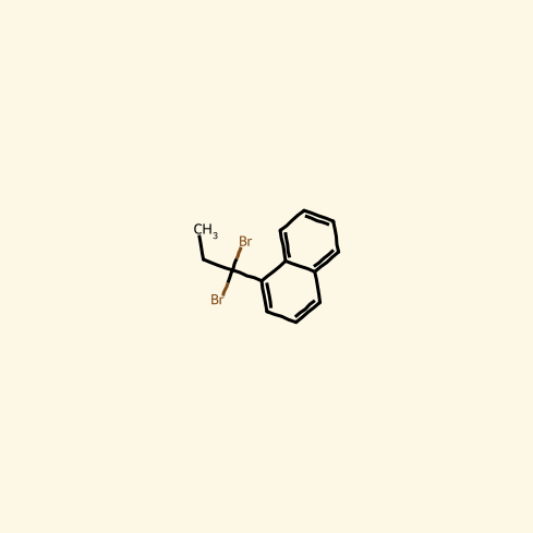 CCC(Br)(Br)c1cccc2ccccc12